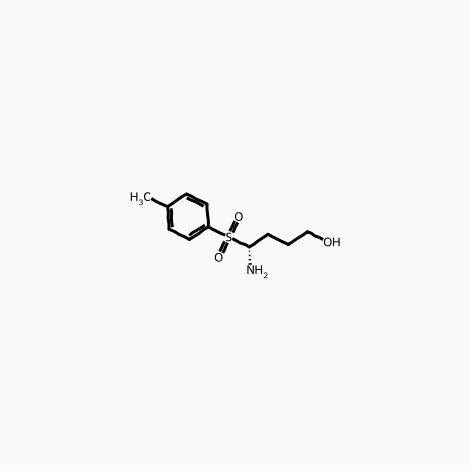 Cc1ccc(S(=O)(=O)[C@@H](N)CCCO)cc1